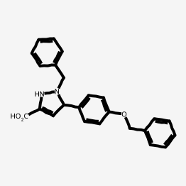 O=C(O)C1=CC(c2ccc(OCc3ccccc3)cc2)N(Cc2ccccc2)N1